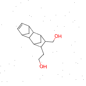 OCCC1C(CO)C2CC1C1C3C=CC(C3)C21